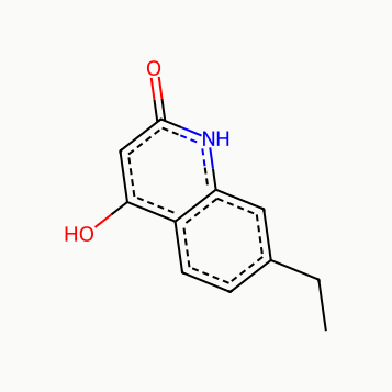 CCc1ccc2c(O)cc(=O)[nH]c2c1